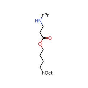 CCCCCCCCCCCCOC(=O)CCNCCC